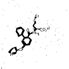 CCSCC[C@H](NC(=O)c1ccc(Oc2cccnc2)cc1-c1ccccc1)C(=O)O